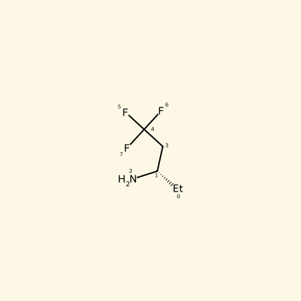 CC[C@H](N)CC(F)(F)F